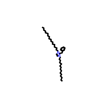 CCCCCCCCCCCCCCCCCCN1C=CN(CCCCCCCCCCCCCCC)C1Cc1ccccc1